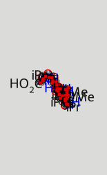 CC[C@H](C)[C@@H]([C@@H](CC(=O)N1CCC[C@H]1[C@H](OC)[C@@H](C)C(=O)N[C@@H](Cc1ccccc1)C(=O)NOCc1ccc(NC(=O)[C@@H](C)NC(=O)[C@H](NC(=O)CCCC(=O)O)C(C)C)cc1)OC)N(C)C(=O)[C@@H](NC(=O)[C@H](C(C)C)N(C)C)C(C)C